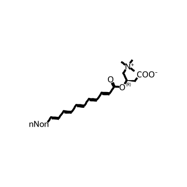 CCCCCCCCCC=CC=CC=CC=CC=CC(=O)O[C@H](CC(=O)[O-])C[N+](C)(C)C